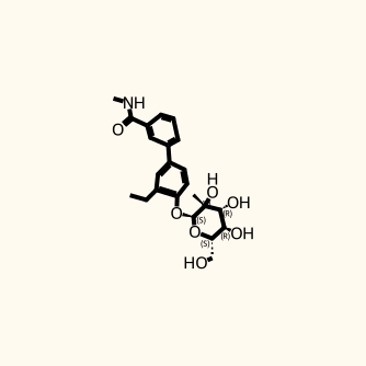 CCc1cc(-c2cccc(C(=O)NC)c2)ccc1O[C@@H]1O[C@@H](CO)[C@H](O)[C@@H](O)[C@@]1(C)O